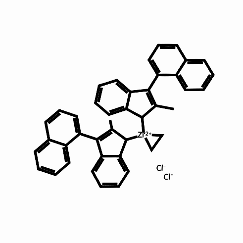 CC1=C(c2cccc3ccccc23)c2ccccc2[CH]1[Zr+2]1([CH]2C(C)=C(c3cccc4ccccc34)c3ccccc32)[CH2][CH2]1.[Cl-].[Cl-]